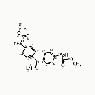 COC(=O)[AsH]c1ccc(C(CN)c2ccc([AsH]C(=O)OC)cc2)cc1